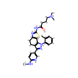 CCNc1ccc(-c2nn(-c3ccccc3C)c3c2CCc2nc(NC(=O)CCCN(C)C)sc2-3)cn1